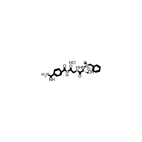 Cl.N=C(N)c1ccc(C(=O)NC(=O)CNC(=O)[C@@H](CO)NS(=O)(=O)Cc2ccccc2)cc1